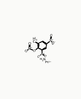 Cc1cc([N+](=O)[O-])cc([N+](=O)[O-])c1O[N+](=O)[O-].N.[Pt+2]